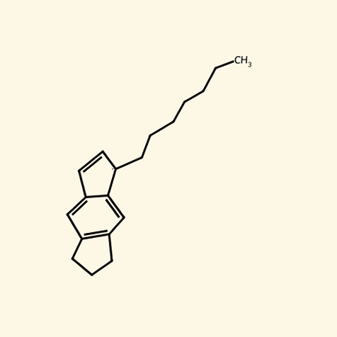 CCCCCCC[C]1C=Cc2cc3c(cc21)CCC3